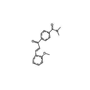 COc1ccccc1C=CC(=O)c1ccc(C(=O)N(C)C)cc1